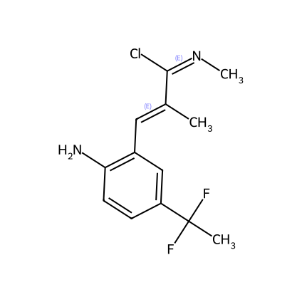 C/N=C(Cl)\C(C)=C\c1cc(C(C)(F)F)ccc1N